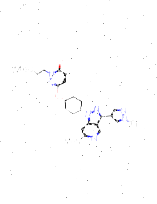 CNc1cc2c(cn1)c(-c1cnn(C)c1)nn2[C@H]1CC[C@@H](Oc2ccc(=O)n(CCOC)n2)CC1